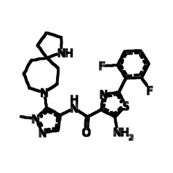 Cn1ncc(NC(=O)c2nc(-c3c(F)cccc3F)sc2N)c1N1CCCC2(CCCN2)CC1